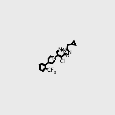 FC(F)(F)c1ccccc1C1CCN(c2cnn3c(CC4CC4)nnc3c2Cl)CC1